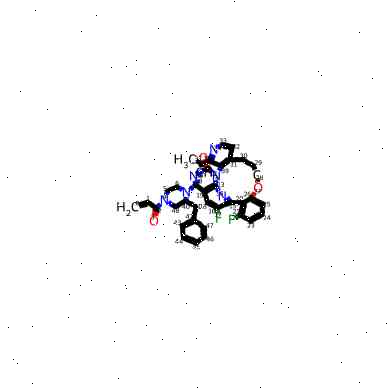 C=CC(=O)N1CCN(c2nc(=O)n3c4nc(c(F)cc24)-c2c(F)cccc2OCCCc2ccnc(C(C)C)c2-3)C(Cc2ccccc2)C1